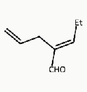 C=CC/C(C=O)=C\CC